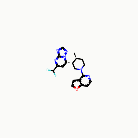 C[C@H]1CCN(c2nccc3occc23)C[C@@H]1c1cc(C(F)F)nc2ncnn12